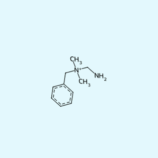 C[N+](C)(CN)Cc1ccccc1